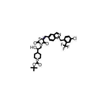 CC(C)(C)OC(=O)N1CCC(C(O)CN2C(=O)S/C(=C/c3ccc4c(cnn4Cc4ccc(Cl)cc4C(F)(F)F)c3)C2=O)CC1